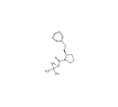 CC(C)(C)OC(=O)N1CCC[C@@H]1CCc1ccccc1